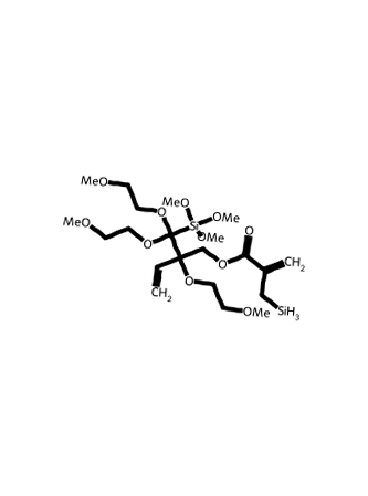 C=CC(COC(=O)C(=C)C[SiH3])(OCCOC)C(OCCOC)(OCCOC)[Si](OC)(OC)OC